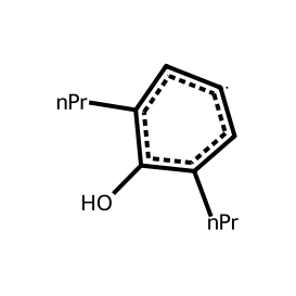 CCCc1c[c]cc(CCC)c1O